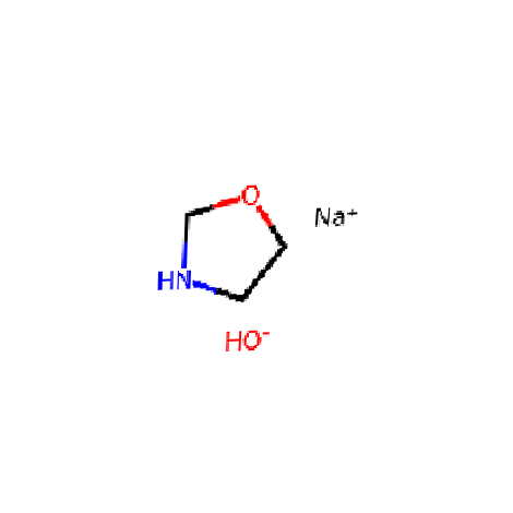 C1COCN1.[Na+].[OH-]